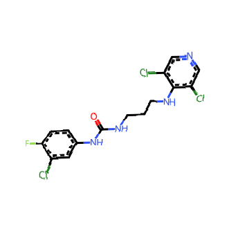 O=C(NCCCNc1c(Cl)cncc1Cl)Nc1ccc(F)c(Cl)c1